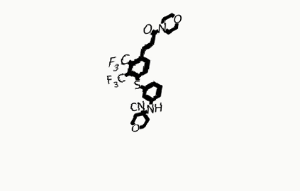 N#CC1(Nc2cccc(Sc3ccc(C=CC(=O)N4CCOCC4)c(C(F)(F)F)c3C(F)(F)F)c2)CCOCC1